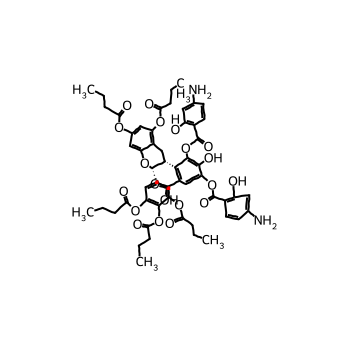 CCCC(=O)Oc1cc(OC(=O)CCC)c2c(c1)O[C@@H](c1cc(OC(=O)CCC)c(OC(=O)CCC)c(OC(=O)CCC)c1)[C@@H](c1c(C(=O)O)cc(OC(=O)c3ccc(N)cc3O)c(O)c1OC(=O)c1ccc(N)cc1O)C2